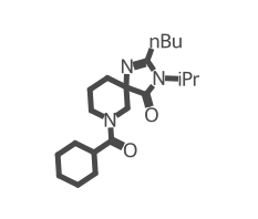 CCCCC1=NC2(CCCN(C(=O)C3CCCCC3)C2)C(=O)N1C(C)C